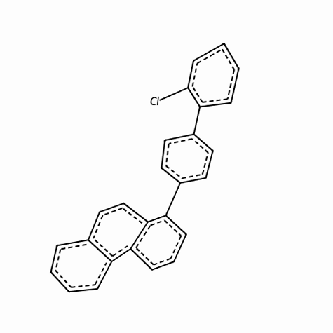 Clc1ccccc1-c1ccc(-c2cccc3c2ccc2ccccc23)cc1